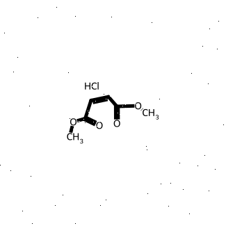 COC(=O)/C=C\C(=O)OC.Cl